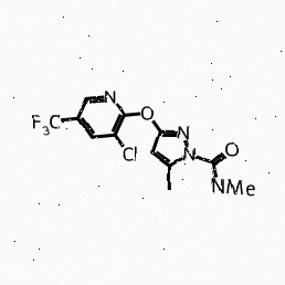 CNC(=O)n1nc(Oc2ncc(C(F)(F)F)cc2Cl)cc1C